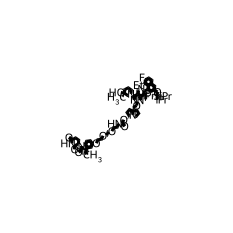 CCc1c(F)ccc2cc(O[Si](C(C)C)(C(C)C)C(C)C)cc(-c3ncc4c(N5CCC[C@@](C)(O)C5)nc(OC[C@@]56CCCN5[C@H](COC(=O)NCCOCCOCCOc5ccc7c(c5)n(C)c(=O)n7C5CCC(=O)NC5=O)CC6)nc4c3F)c12